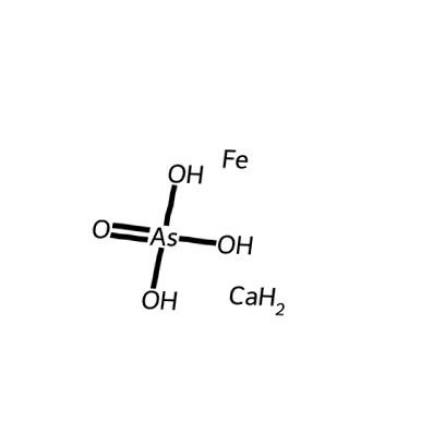 O=[As](O)(O)O.[CaH2].[Fe]